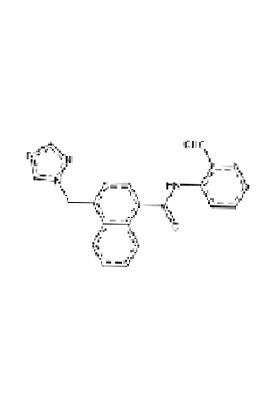 O=[C]c1ncccc1NC(=O)c1ccc(Cn2cncn2)c2ccccc12